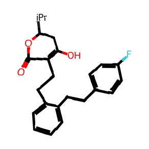 CC(C)C1CC(O)=C(CCc2ccccc2CCc2ccc(F)cc2)C(=O)O1